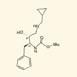 CC(C)(C)OC(=O)N[C@@H](Cc1ccccc1)[C@H](O)CNCC1CC1